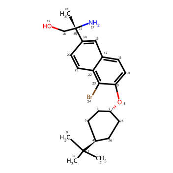 CC(C)(C)[C@H]1CC[C@H](Oc2ccc3cc([C@@](C)(N)CO)ccc3c2Br)CC1